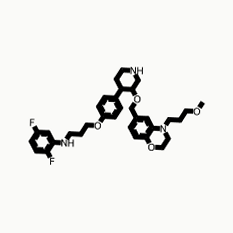 COCCCN1CCOc2ccc(COC3CNCCC3c3ccc(OCCCNc4cc(F)ccc4F)cc3)cc21